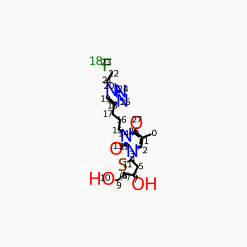 Cc1cn(C2CC(O)[C@@H](CO)S2)c(=O)n(CCCc2cn(CC[18F])nn2)c1=O